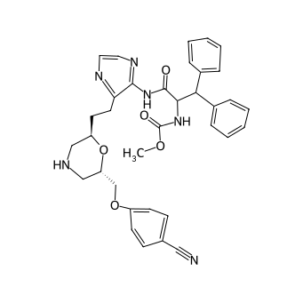 COC(=O)NC(C(=O)Nc1nccnc1CC[C@@H]1CNC[C@@H](COc2ccc(C#N)cc2)O1)C(c1ccccc1)c1ccccc1